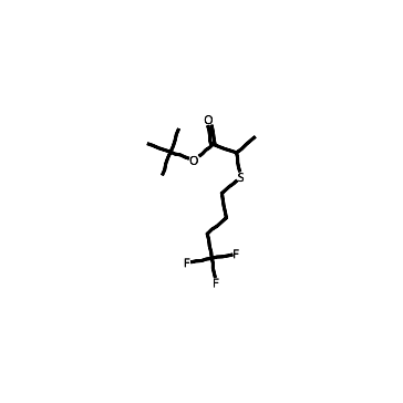 CC(SCCCC(F)(F)F)C(=O)OC(C)(C)C